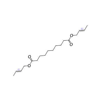 C/C=C/COC(=O)CCCCCCCCC(=O)OC/C=C/C